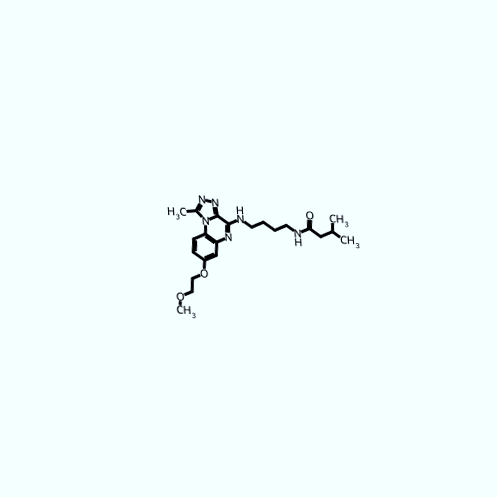 COCCOc1ccc2c(c1)nc(NCCCCNC(=O)CC(C)C)c1nnc(C)n12